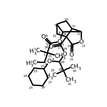 CCC(C)(C)C(=O)OC1C2CC3C1OC(=O)C3(C(=O)OC(OC1CCCCC1)C(C)(C)C)C2